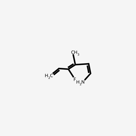 C=CC(F)=C(C)/C=C\N